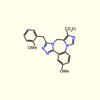 CCOC(=O)c1ncn2c1Cn1c(Cc3ccccc3OC)nnc1-c1cc(OC)ccc1-2